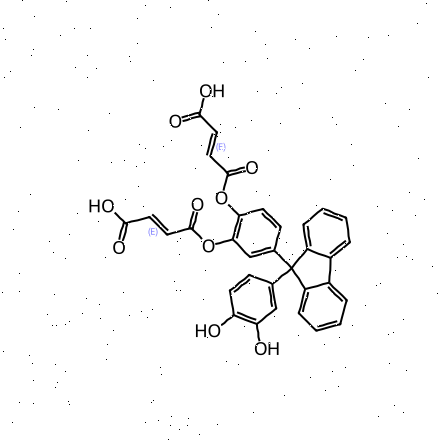 O=C(O)/C=C/C(=O)Oc1ccc(C2(c3ccc(O)c(O)c3)c3ccccc3-c3ccccc32)cc1OC(=O)/C=C/C(=O)O